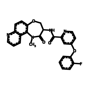 CN1C(=O)C(NC(=O)c2cc(Oc3ccccc3F)ccn2)COc2ccc3ncccc3c21